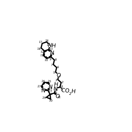 O=C(O)[C@H](CCOCCCCc1ccc2c(n1)NCCC2)NC(=O)C1(c2ncccn2)CC1